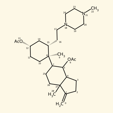 C=C1CCC2C(OC(C)=O)C([C@@]3(C)CC[C@H](OC(C)=O)C[C@@H]3CCN3CCN(C)CC3)CCC12C